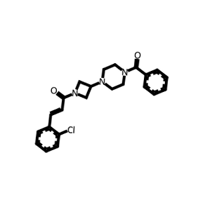 O=C(C=Cc1ccccc1Cl)N1CC(N2CCN(C(=O)c3ccccc3)CC2)C1